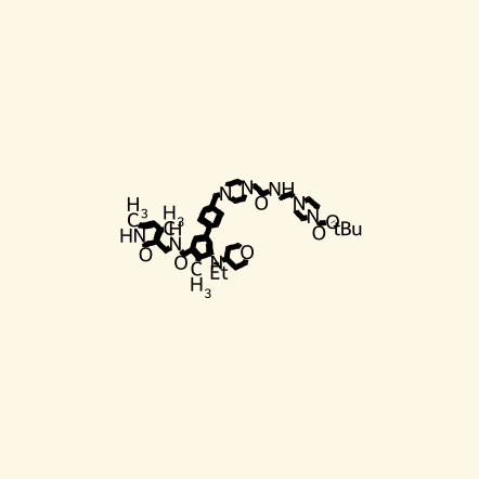 CCN(c1cc(-c2ccc(CN3CCN(CC(=O)NCCN4CCN(C(=O)OC(C)(C)C)CC4)CC3)cc2)cc(C(=O)NCc2c(C)cc(C)[nH]c2=O)c1C)C1CCOCC1